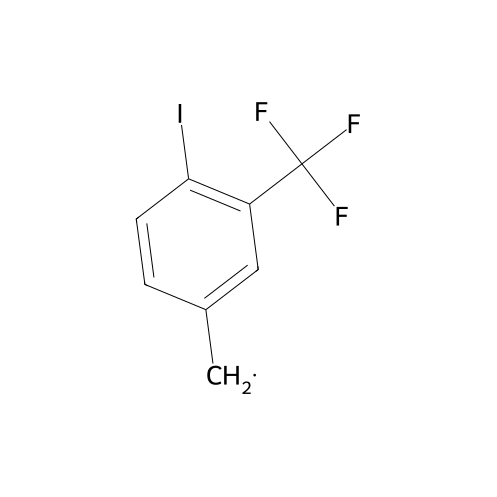 [CH2]c1ccc(I)c(C(F)(F)F)c1